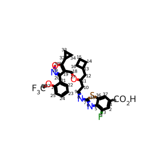 O=C(O)c1cc(F)c2nc(/N=C\CC(CC3CCC3)OCc3c(-c4ccccc4OC(F)(F)F)noc3C3CC3)sc2c1